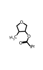 CC(C)C(=O)OC1COCC1C